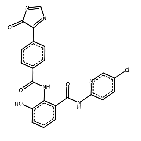 O=C1N=CN=C1c1ccc(C(=O)Nc2c(O)cccc2C(=O)Nc2ccc(Cl)cn2)cc1